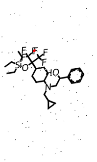 CC[Si](CC)(CC)OC(C1CCC(N(CC2CC2)CC(O)c2ccccc2)CC1)(C(F)(F)F)C(F)(F)F